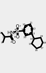 CC(C)C(=O)NS(=O)(=O)c1cccc(C2CCCCC2)c1